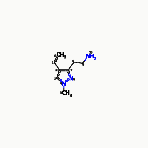 C=Cc1cn(C)nc1CCN